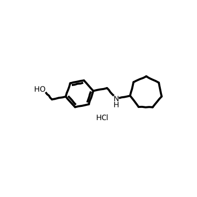 Cl.OCc1ccc(CNC2CCCCCC2)cc1